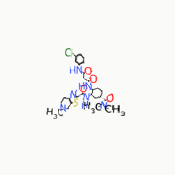 CN1CCc2nc(C(=O)N[C@@H]3C[C@@H](C(=O)N(C)C)CC[C@@H]3NC(=O)CC(=O)Nc3cccc(Cl)c3)sc2C1